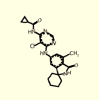 Cc1cc(Nc2ncnc(NC(=O)C3CC3)c2Cl)cc2c1C(=O)NC21CCCCC1